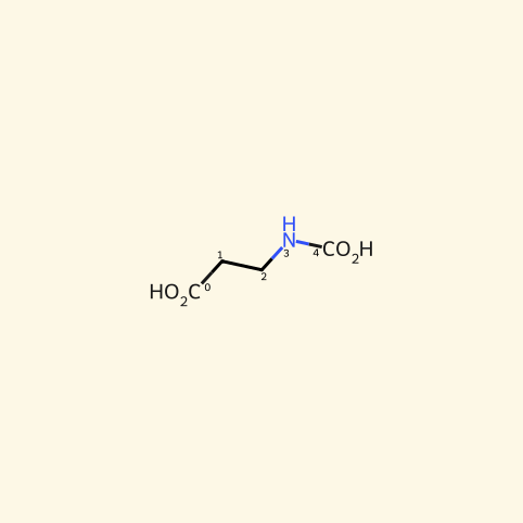 O=C(O)CCNC(=O)O